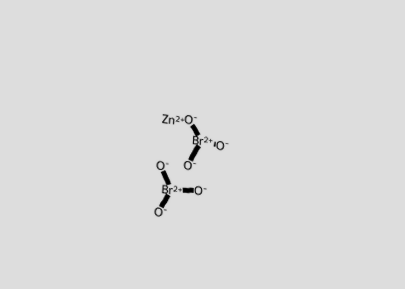 [O-][Br+2]([O-])[O-].[O-][Br+2]([O-])[O-].[Zn+2]